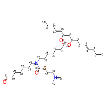 CCC/C=C/CCC(CC/C=C/CCC)OC(=O)CCCCCCN(CCCCCCC=O)C(=O)SCCN(C)C